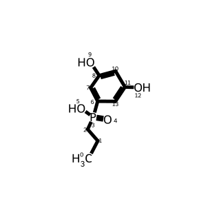 CCCP(=O)(O)c1cc(O)cc(O)c1